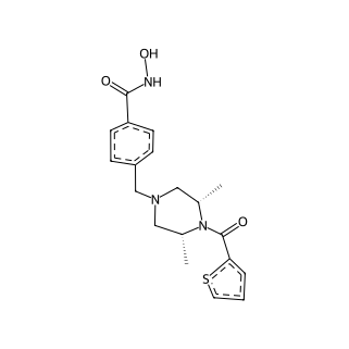 C[C@@H]1CN(Cc2ccc(C(=O)NO)cc2)C[C@H](C)N1C(=O)c1cccs1